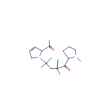 CC(C)N1CCCC1C(=O)C(C)(C)CC(C)(C)N1CC=CC1C(=O)C(C)(C)C